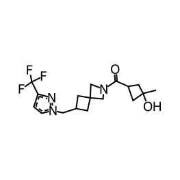 CC1(O)CC(C(=O)N2CC3(CC(Cn4ccc(C(F)(F)F)n4)C3)C2)C1